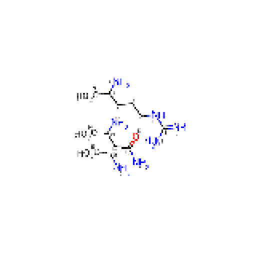 N=C(N)NCCCC(N)C(=O)O.NC(=O)CC(N)C(=O)O.NCC(=O)O